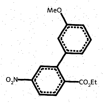 CCOC(=O)c1ccc([N+](=O)[O-])cc1-c1cccc(OC)c1